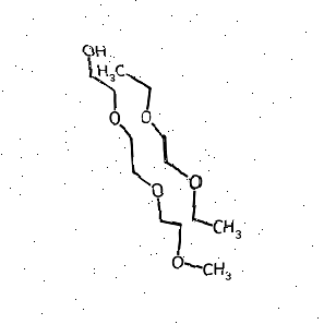 CCOCCOCC.COCCOCCOCCO